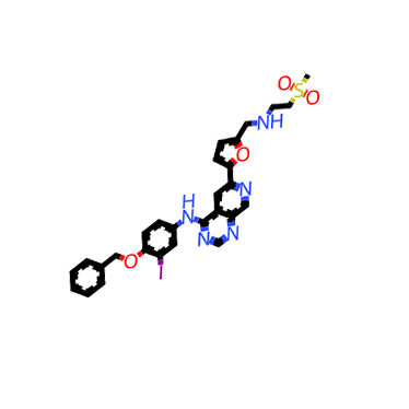 CS(=O)(=O)CCNCc1ccc(-c2cc3c(Nc4ccc(OCc5ccccc5)c(I)c4)ncnc3cn2)o1